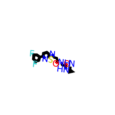 N#CC1(NC(=O)CNC(=O)Cc2nc3ccc(-c4cc(F)cc(F)c4)nc3s2)CC1